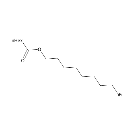 CCCCCCC(=O)OCCCCCCCCC(C)C